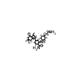 Cc1nn(-c2ccc(C(N)=O)c(N[C@H]3CC[C@H](OCCN)CC3)c2)c2c1C(=O)CC(C)(C)C2